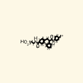 O=C(NCCS(=O)(=O)O)c1ccc(CC(C(=O)Nc2ccc(I)cc2)c2ccccc2)cc1